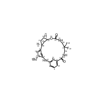 CC(C)(C)n1nc2cc1Nc1cccc(n1)C(=O)NCC(F)(F)CNC(=O)O[C@@H]1CC[C@H]2C1